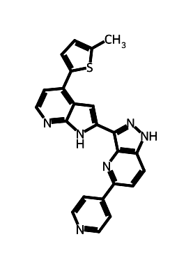 Cc1ccc(-c2ccnc3[nH]c(-c4n[nH]c5ccc(-c6ccncc6)nc45)cc23)s1